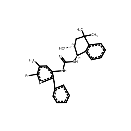 Cc1cc(NC(=O)N[C@@H]2c3ccccc3C(C)(C)C[C@H]2O)c(-c2ccccc2)nc1Br